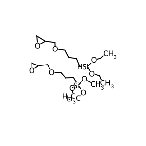 CCO[SiH](CCCCOCC1CO1)OCC.CO[Si](CCCOCC1CO1)(OC)OC